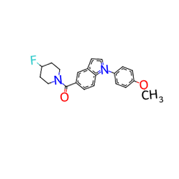 COc1ccc(-n2ccc3cc(C(=O)N4CCC(F)CC4)ccc32)cc1